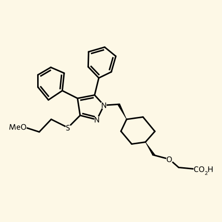 COCCSc1nn(C[C@H]2CC[C@@H](COCC(=O)O)CC2)c(-c2ccccc2)c1-c1ccccc1